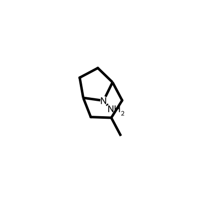 CC1CC2CCC(C1)N2N